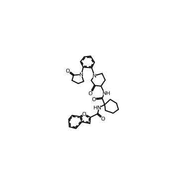 O=C(NC1(C(=O)NC2CCN(c3ccccc3N3CCCC3=O)CC2=O)CCCCC1)c1cc2ccccc2o1